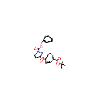 CC(C)(C)OC(=O)C1=CCC=C(OC2CCN(C(=O)OCc3ccccc3)C2)C=C1